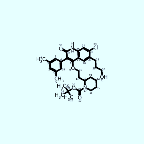 Cc1cc(C)cc(-c2c(OCCC3CCCCN3C(=O)OC(C)(C)C)c3cc(CCCO)c(Cl)cc3[nH]c2=O)c1